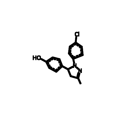 CC1=NN(c2ccc(Cl)cc2)C(c2ccc(O)cc2)C1